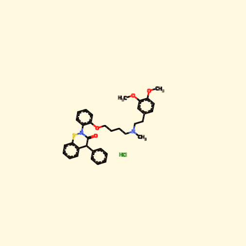 COc1ccc(CCN(C)CCCCOc2ccccc2N2Sc3ccccc3C(c3ccccc3)C2=O)cc1OC.Cl